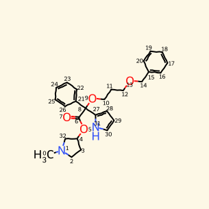 CN1CCC(OC(=O)C(OCCCOCc2ccccc2)(c2ccccc2)c2ccc[nH]2)C1